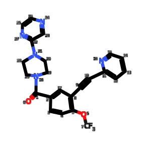 O=C(c1ccc(OC(F)(F)F)c(C#Cc2ccccn2)c1)N1CCN(c2cnccn2)CC1